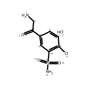 Cl.NCC(=O)c1ccc(Cl)c(S(N)(=O)=O)c1